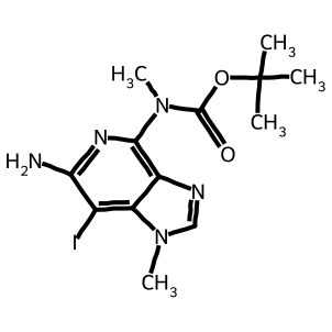 CN(C(=O)OC(C)(C)C)c1nc(N)c(I)c2c1ncn2C